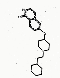 O=c1[nH]ccc2cc(OC3CCN(CCC4CCCCC4)CC3)ccc12